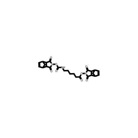 O=C(CCCCCNC(=O)ON1C(=O)C2C3C=CC(C3)C2C1=O)ON1C(=O)C2C3C=CC(C3)C2C1=O